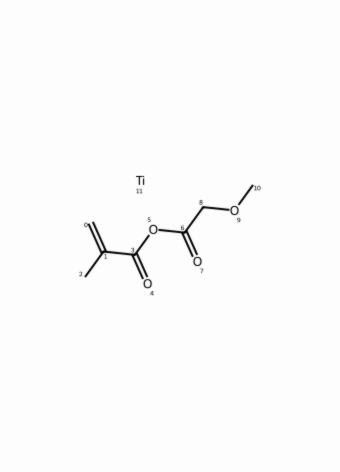 C=C(C)C(=O)OC(=O)COC.[Ti]